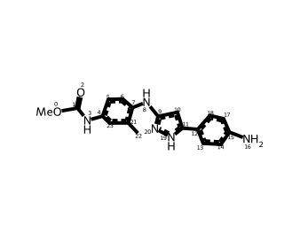 COC(=O)Nc1ccc(Nc2cc(-c3ccc(N)cc3)[nH]n2)c(C)c1